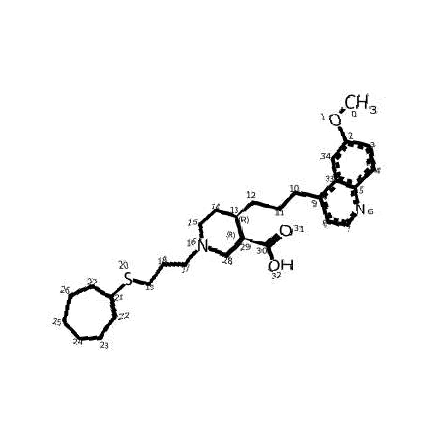 COc1ccc2nccc(CCC[C@@H]3CCN(CCCSC4CCCCCC4)C[C@@H]3C(=O)O)c2c1